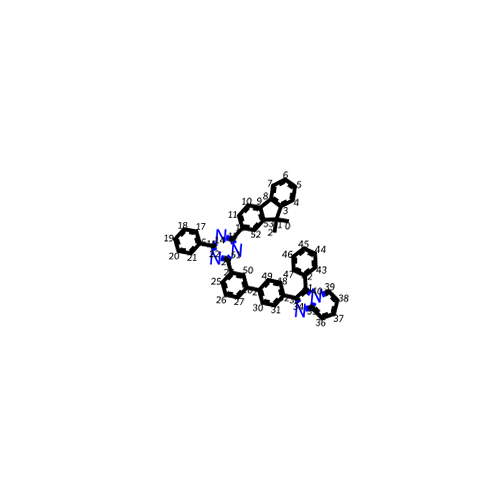 CC1(C)c2ccccc2-c2ccc(-c3nc(-c4ccccc4)nc(-c4cccc(-c5ccc(-c6nc7ccccn7c6-c6ccccc6)cc5)c4)n3)cc21